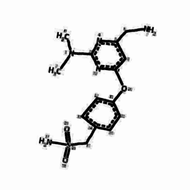 CN(C)c1nc(CN)cc(Oc2ccc(CS(N)(=O)=O)cc2)n1